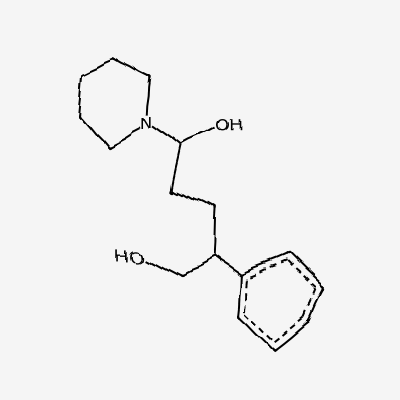 OCC(CCC(O)N1CCCCC1)c1ccccc1